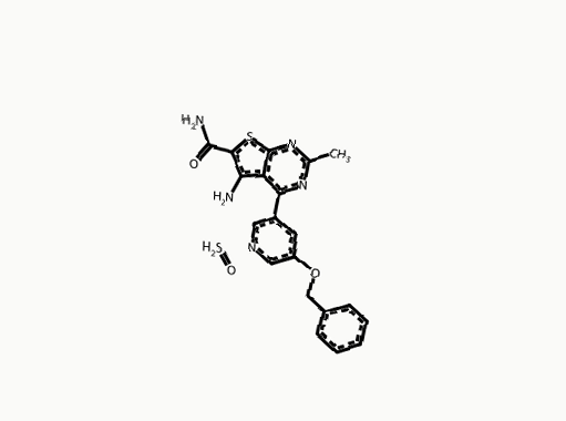 Cc1nc(-c2cncc(OCc3ccccc3)c2)c2c(N)c(C(N)=O)sc2n1.O=[SH2]